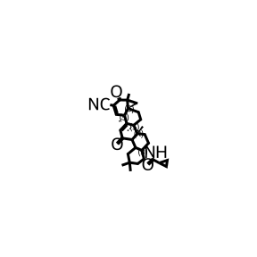 CC1(C)CC[C@]2(NC(=O)C3CC3)CC[C@]3(C)C(C(=O)C=C4[C@@]5(C)C=C(C#N)C(=O)C6(C)C[C@]65CC[C@]43C)C2C1